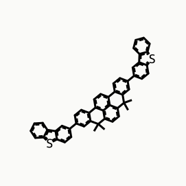 CC1(C)c2cc(-c3ccc4sc5ccccc5c4c3)ccc2-c2ccc3c4c(ccc1c24)C(C)(C)c1cc(-c2ccc4sc5ccccc5c4c2)ccc1-3